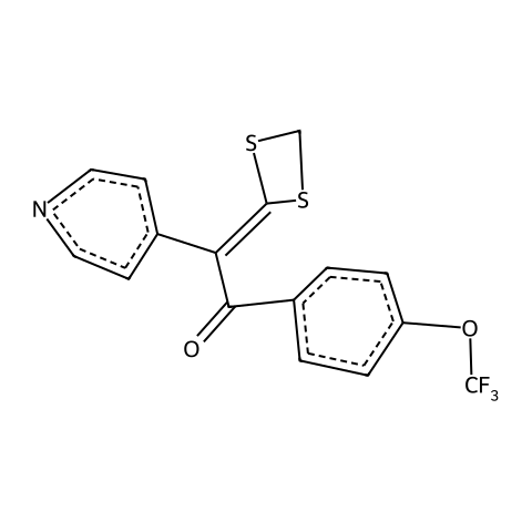 O=C(C(=C1SCS1)c1ccncc1)c1ccc(OC(F)(F)F)cc1